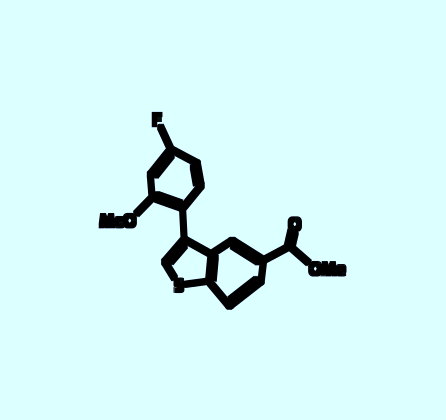 COC(=O)c1ccc2scc(-c3ccc(F)cc3OC)c2c1